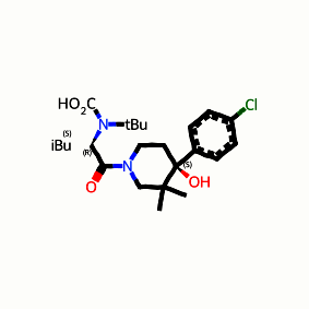 CC[C@H](C)[C@H](C(=O)N1CC[C@](O)(c2ccc(Cl)cc2)C(C)(C)C1)N(C(=O)O)C(C)(C)C